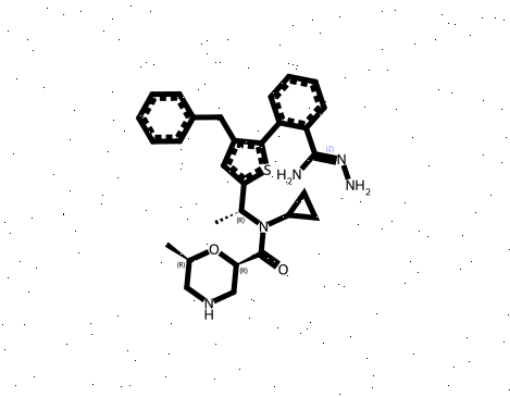 C[C@@H]1CNC[C@H](C(=O)N(C2CC2)[C@H](C)c2cc(Cc3ccccc3)c(-c3ccccc3/C(N)=N/N)s2)O1